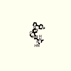 CC(C)N/C(=N\C=N)c1cn2c(n1)-c1cnc(N3CCCC3C3CCN(C)CC3)cc1OCC2